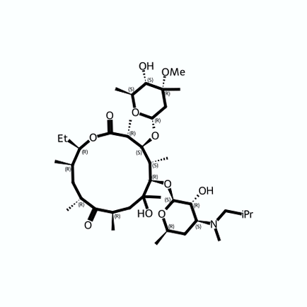 CC[C@H]1OC(=O)[C@H](C)[C@@H](O[C@H]2C[C@@](C)(OC)[C@@H](O)[C@H](C)O2)[C@H](C)[C@@H](O[C@@H]2O[C@H](C)C[C@H](N(C)CC(C)C)[C@H]2O)C(C)(O)C[C@@H](C)C(=O)[C@H](C)C[C@H]1C